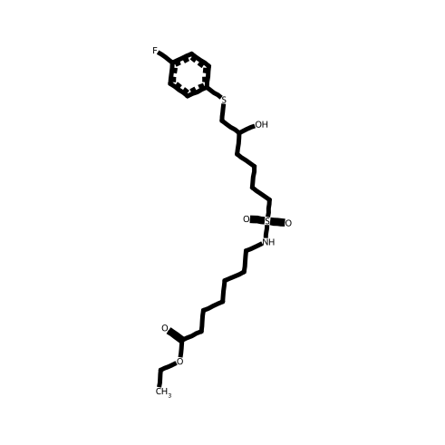 CCOC(=O)CCCCCCNS(=O)(=O)CCCCC(O)CSc1ccc(F)cc1